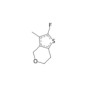 Cc1c(F)sc2c1COCC2